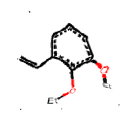 [CH]=Cc1cccc(OCC)c1OCC